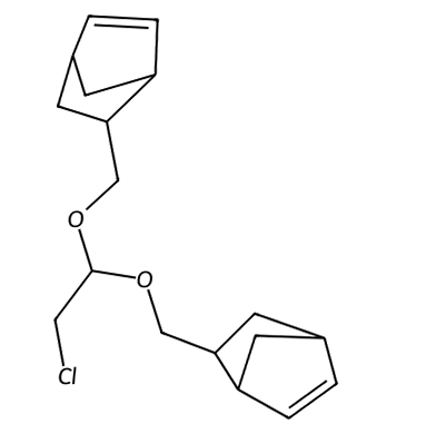 ClCC(OCC1CC2C=CC1C2)OCC1CC2C=CC1C2